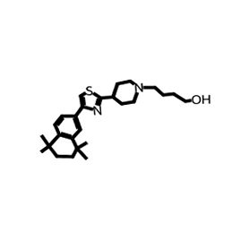 CC1(C)CCC(C)(C)c2cc(-c3csc(C4CCN(CCCCO)CC4)n3)ccc21